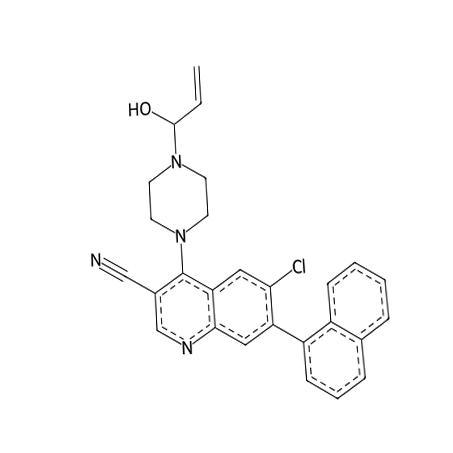 C=CC(O)N1CCN(c2c(C#N)cnc3cc(-c4cccc5ccccc45)c(Cl)cc23)CC1